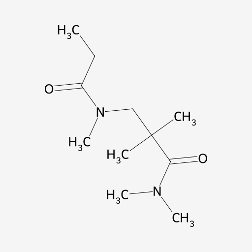 CCC(=O)N(C)CC(C)(C)C(=O)N(C)C